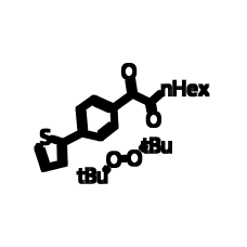 CC(C)(C)OOC(C)(C)C.CCCCCCC(=O)C(=O)c1ccc(-c2cccs2)cc1